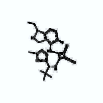 CCC1NCc2c1ccc(F)c2Nc1c(N[C@@H](c2ccc(C)o2)C(C)(C)C)c(=O)c1=O